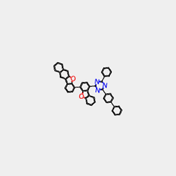 c1ccc(-c2ccc(-c3nc(-c4ccccc4)nc(-c4ccc(-c5cccc6c5oc5cc7ccccc7cc56)c5oc6ccccc6c45)n3)cc2)cc1